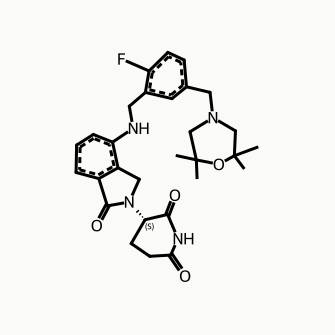 CC1(C)CN(Cc2ccc(F)c(CNc3cccc4c3CN([C@H]3CCC(=O)NC3=O)C4=O)c2)CC(C)(C)O1